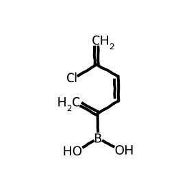 C=C(Cl)/C=C\C(=C)B(O)O